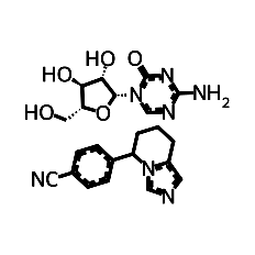 N#Cc1ccc(C2CCCc3cncn32)cc1.Nc1ncn([C@@H]2O[C@H](CO)[C@@H](O)[C@@H]2O)c(=O)n1